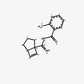 Cc1ncccc1C(=O)NC(=N)C12C=CC1CCC2